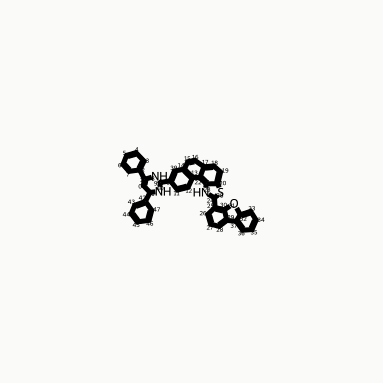 C1=C(c2ccccc2)NC(c2ccc3c(ccc4ccc5c(c43)NC(c3cccc4c3oc3ccccc34)S5)c2)NC1c1ccccc1